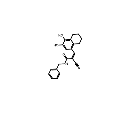 N#CC(=Cc1cc(O)c(O)c2c1CCCC2)C(=O)NCc1ccccc1